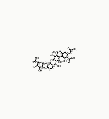 COc1c2c(c(O)c3c1Oc1c(O[C@@H]4O[C@H](C(=O)O)[C@@H](O)[C@H](O)[C@H]4O)cccc1C3O)-c1c(cc(CC(C)=O)c(C(=O)O)c1O)CC2